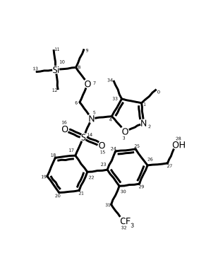 Cc1noc(N(COC(C)[Si](C)(C)C)S(=O)(=O)c2ccccc2-c2ccc(CO)cc2CC(F)(F)F)c1C